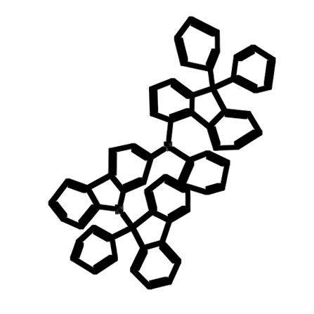 c1ccc(N(c2ccc3c4ccccc4n(C4(c5ccccc5)c5ccccc5-c5ccccc54)c3c2)c2cccc3c2-c2ccccc2C3(c2ccccc2)c2ccccc2)cc1